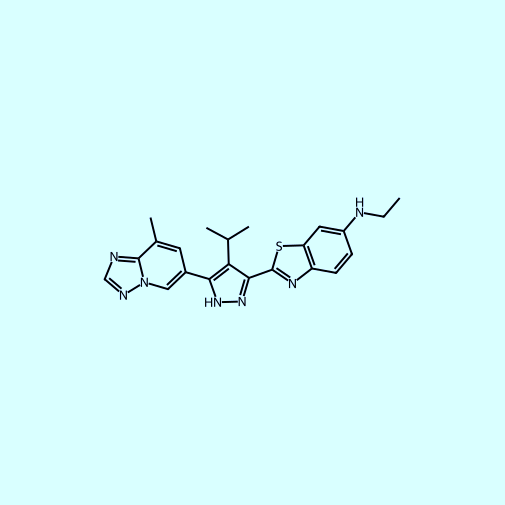 CCNc1ccc2nc(-c3n[nH]c(-c4cc(C)c5ncnn5c4)c3C(C)C)sc2c1